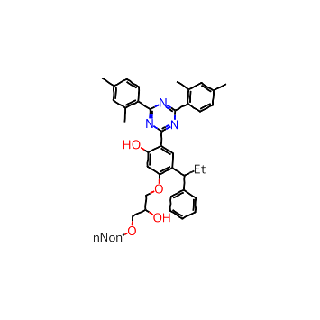 CCCCCCCCCOCC(O)COc1cc(O)c(-c2nc(-c3ccc(C)cc3C)nc(-c3ccc(C)cc3C)n2)cc1C(CC)c1ccccc1